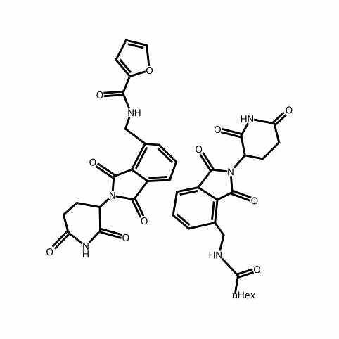 CCCCCCC(=O)NCc1cccc2c1C(=O)N(C1CCC(=O)NC1=O)C2=O.O=C1CCC(N2C(=O)c3cccc(CNC(=O)c4ccco4)c3C2=O)C(=O)N1